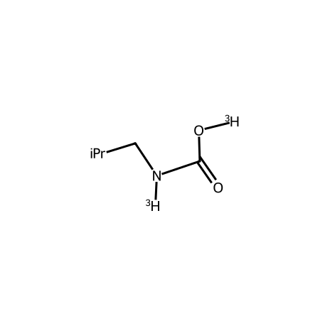 [3H]OC(=O)N([3H])CC(C)C